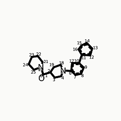 O=C(C1CCN(c2cccc(-c3ccccc3)c2)CC1)N1CCCCC1